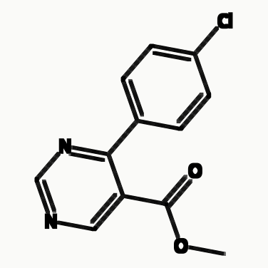 COC(=O)c1cncnc1-c1ccc(Cl)cc1